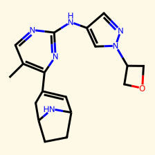 Cc1cnc(Nc2cnn(C3COC3)c2)nc1C1=CC2CCC(C1)N2